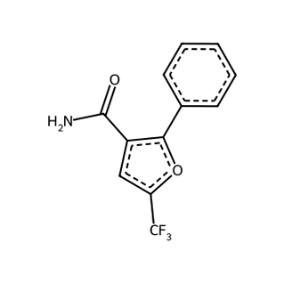 NC(=O)c1cc(C(F)(F)F)oc1-c1ccccc1